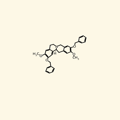 COc1cc2c(cc1OCc1ccccc1)CN1CCc3cc(OC)c(OCc4ccccc4)cc3[C@@H]1C2